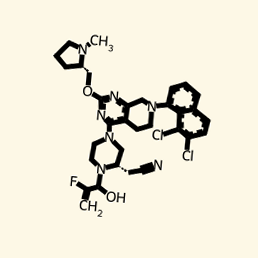 C=C(F)C(O)N1CCN(c2nc(OC[C@@H]3CCCN3C)nc3c2CCN(c2cccc4ccc(Cl)c(Cl)c24)C3)C[C@@H]1CC#N